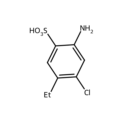 CCc1cc(S(=O)(=O)O)c(N)cc1Cl